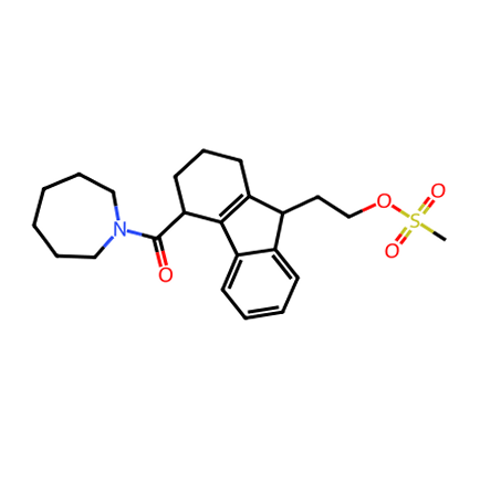 CS(=O)(=O)OCCC1C2=C(c3ccccc31)C(C(=O)N1CCCCCC1)CCC2